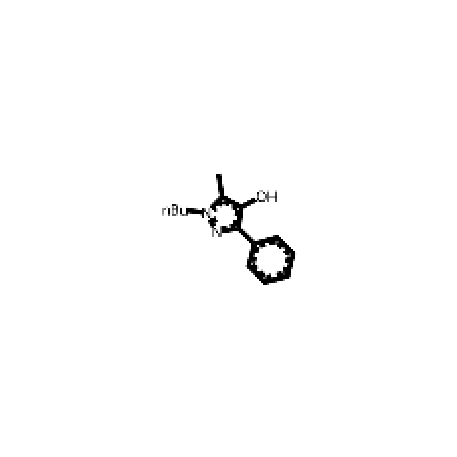 CCCCn1nc(-c2ccccc2)c(O)c1C